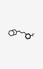 Fc1cccc(CCCC2CC3CCCC(C2)C3)c1